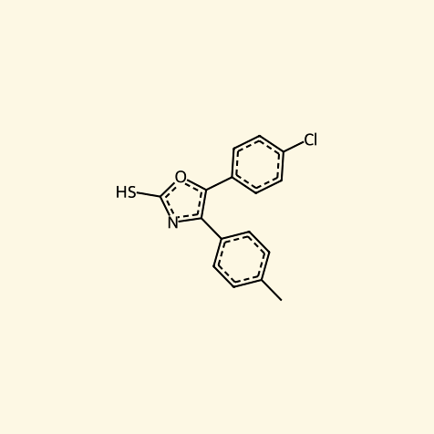 Cc1ccc(-c2nc(S)oc2-c2ccc(Cl)cc2)cc1